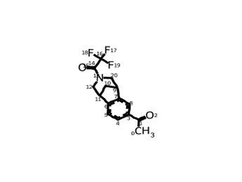 CC(=O)c1ccc2c(c1)C1CC2CN(C(=O)C(F)(F)F)C1